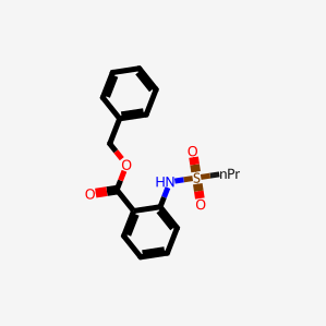 CCCS(=O)(=O)Nc1ccccc1C(=O)OCc1ccccc1